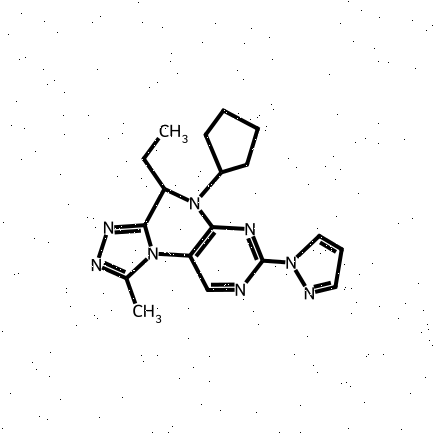 CCC1c2nnc(C)n2-c2cnc(-n3cccn3)nc2N1C1CCCC1